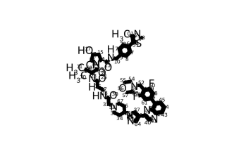 Cc1ncsc1-c1ccc(CNC(=O)[C@@H]2C[C@@H](O)CN2C(=O)C(NC(=O)CCNC(=O)CN2CCC(n3cc(-c4cnc5cccc(-c6cc(F)c(CN7CCOCC7)c(F)c6)c5n4)cn3)CC2)C(C)(C)C)cc1